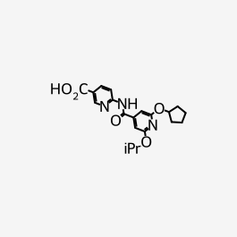 CC(C)Oc1cc(C(=O)Nc2ccc(C(=O)O)cn2)cc(OC2CCCC2)n1